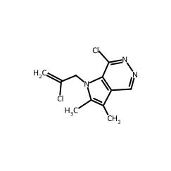 C=C(Cl)Cn1c(C)c(C)c2cnnc(Cl)c21